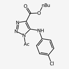 CCCCOC(=O)c1nnn(C(C)=O)c1Nc1ccc(Cl)cc1